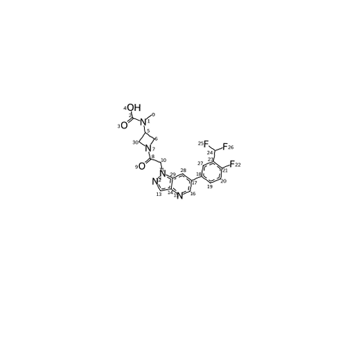 CN(C(=O)O)C1CN(C(=O)Cn2ncc3ncc(-c4ccc(F)c(C(F)F)c4)cc32)C1